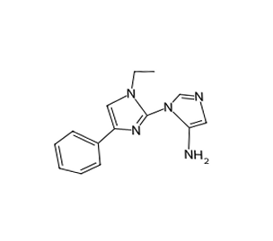 CCn1cc(-c2ccccc2)nc1-n1cncc1N